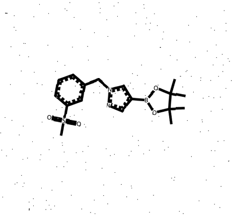 CC1(C)OB(c2cnn(Cc3cccc(S(C)(=O)=O)c3)c2)OC1(C)C